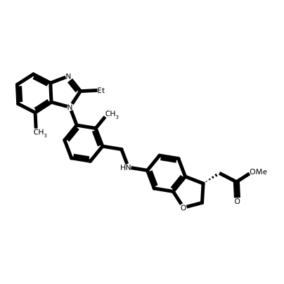 CCc1nc2cccc(C)c2n1-c1cccc(CNc2ccc3c(c2)OC[C@H]3CC(=O)OC)c1C